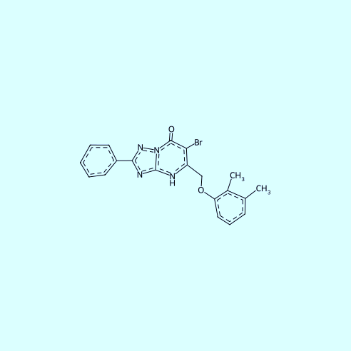 Cc1cccc(OCc2[nH]c3nc(-c4ccccc4)nn3c(=O)c2Br)c1C